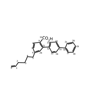 C=CCCCCc1ccc(C(=O)O)c(-c2ccc(-c3ccccc3)cc2)c1